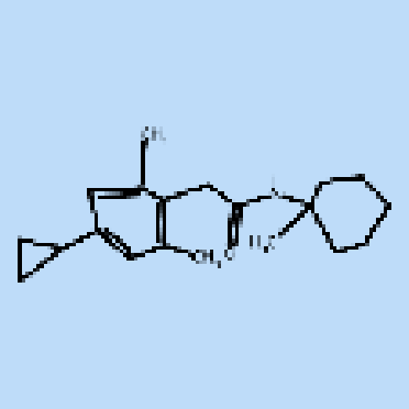 Cc1cc(C2CC2)cc(C)c1CC(=O)NC1(C)CCCCC1